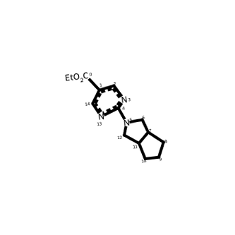 CCOC(=O)c1cnc(N2CC3CCCC3C2)nc1